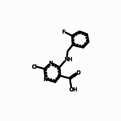 O=C(O)c1cnc(Cl)nc1NCc1ccccc1F